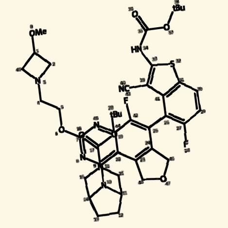 COC1CN(CCOc2nc(N3C4CCC3CN(C(=O)OC(C)(C)C)C4)c3c4c(c(-c5c(F)ccc6sc(NC(=O)OC(C)(C)C)c(C#N)c56)c(F)c3n2)COC4)C1